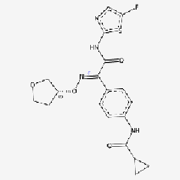 O=C(Nc1ncc(F)s1)/C(=N/O[C@@H]1CCOC1)c1ccc(NC(=O)C2CC2)cc1